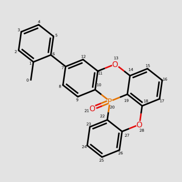 Cc1ccccc1-c1ccc2c(c1)Oc1cccc3c1P2(=O)c1ccccc1O3